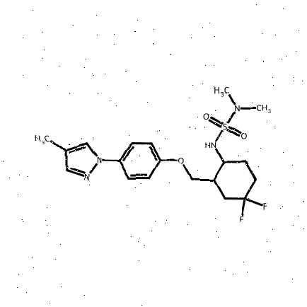 Cc1cnn(-c2ccc(OCC3CC(F)(F)CCC3NS(=O)(=O)N(C)C)cc2)c1